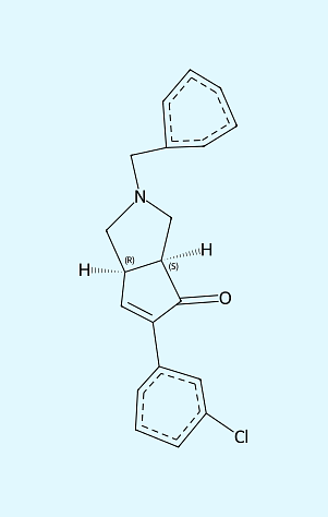 O=C1C(c2cccc(Cl)c2)=C[C@H]2CN(Cc3ccccc3)C[C@@H]12